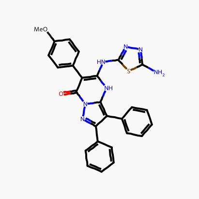 COc1ccc(-c2c(Nc3nnc(N)s3)[nH]c3c(-c4ccccc4)c(-c4ccccc4)nn3c2=O)cc1